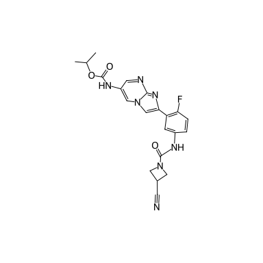 CC(C)OC(=O)Nc1cnc2nc(-c3cc(NC(=O)N4CC(C#N)C4)ccc3F)cn2c1